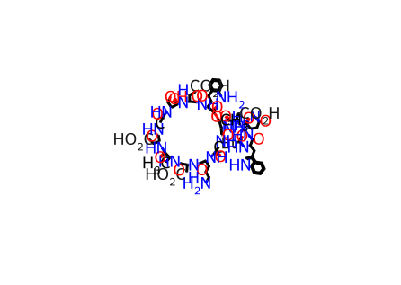 CCC(=O)NC(Cc1c[nH]c2ccccc12)C(=O)NC(CC(N)=O)C(=O)NC(CC(=O)O)C(=O)NC1C(=O)NCC(=O)NC(CCCN)C(=O)NC(CC(=O)O)C(=O)NC(C)C(=O)NC(CC(=O)O)C(=O)NCC(=O)NC(CO)C(=O)NC(CCC(=O)O)C(=O)NC(CC(=O)c2ccccc2N)C(=O)OC1C